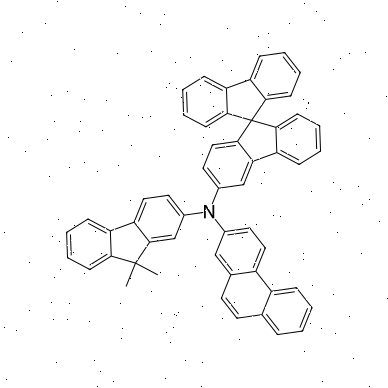 CC1(C)c2ccccc2-c2ccc(N(c3ccc4c(c3)-c3ccccc3C43c4ccccc4-c4ccccc43)c3ccc4c(ccc5ccccc54)c3)cc21